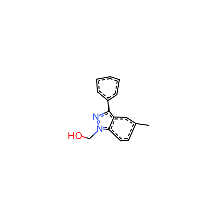 Cc1ccc2c(c1)c(-c1ccccc1)nn2CO